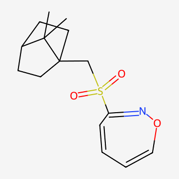 CC1(C)C2CCC1(CS(=O)(=O)C1=NOC=CC=C1)CC2